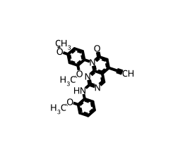 C#Cc1cc(=O)n(-c2ccc(OC)cc2OC)c2nc(Nc3ccccc3OC)ncc12